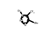 CCn1nnc(C(C)(C)C)c1C(F)(F)F